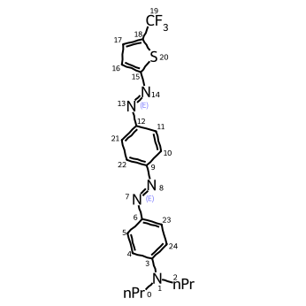 CCCN(CCC)c1ccc(/N=N/c2ccc(/N=N/c3ccc(C(F)(F)F)s3)cc2)cc1